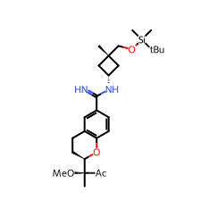 CO[C@](C)(C(C)=O)[C@H]1CCc2cc(C(=N)N[C@H]3C[C@@](C)(CO[Si](C)(C)C(C)(C)C)C3)ccc2O1